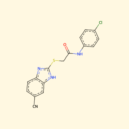 N#Cc1ccc2nc(SCC(=O)Nc3ccc(Cl)cc3)[nH]c2c1